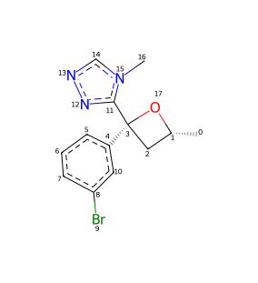 C[C@@H]1C[C@@](c2cccc(Br)c2)(c2nncn2C)O1